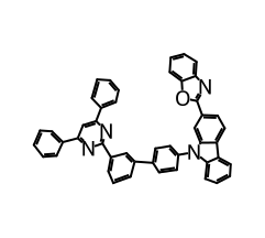 c1ccc(-c2cc(-c3ccccc3)nc(-c3cccc(-c4ccc(-n5c6ccccc6c6ccc(-c7nc8ccccc8o7)cc65)cc4)c3)n2)cc1